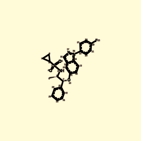 C[C@H](NS(=O)(=O)C1CC1)[C@H](Oc1ccc2c(cnn2-c2ccc(F)cc2)c1)c1ccccc1